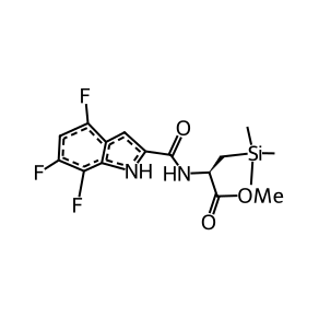 COC(=O)[C@H](C[Si](C)(C)C)NC(=O)c1cc2c(F)cc(F)c(F)c2[nH]1